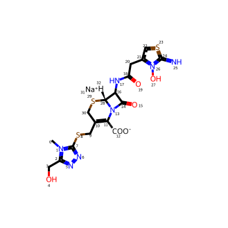 Cn1c(CO)nnc1SCC1=C(C(=O)[O-])N2C(=O)C(NC(=O)Cc3csc(=N)n3O)[C@H]2SC1.[Na+]